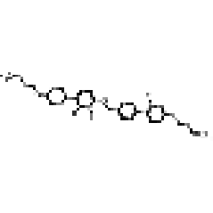 C=CCCOc1ccc(-c2ccc(COc3ccc(C4CCC(OCCCC)CC4)c(F)c3F)cc2)c(F)c1